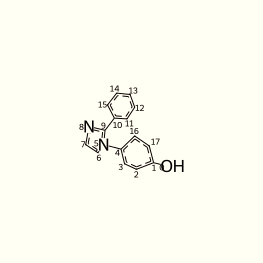 Oc1ccc(-n2ccnc2-c2ccccc2)cc1